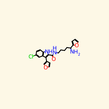 NC(CCCCNC(=O)c1[nH]c2ccc(Cl)cc2c1-c1ccoc1)c1ccco1